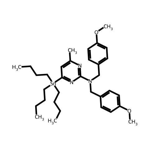 CCC[CH2][Sn]([CH2]CCC)([CH2]CCC)[c]1cc(C)nc(N(Cc2ccc(OC)cc2)Cc2ccc(OC)cc2)n1